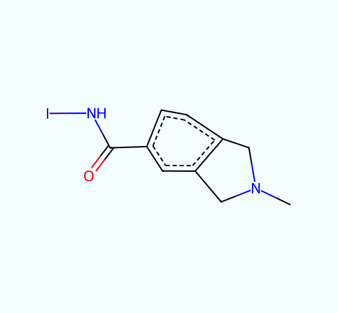 CN1Cc2ccc(C(=O)NI)cc2C1